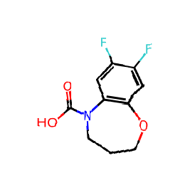 O=C(O)N1CCCOc2cc(F)c(F)cc21